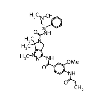 C=CC(=O)Nc1ccc(C(=O)Nc2nn(C)c3c2CN(C(=O)N[C@H](CN(C)C)c2ccccc2)C3(C)C)cc1OC